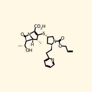 C=CCOC(=O)N1C[C@@H](SC2=C(C(=O)O)N3C(=O)[C@H]([C@@H](C)O)[C@H]3[C@H]2C)C[C@@H]1CCc1ccccn1